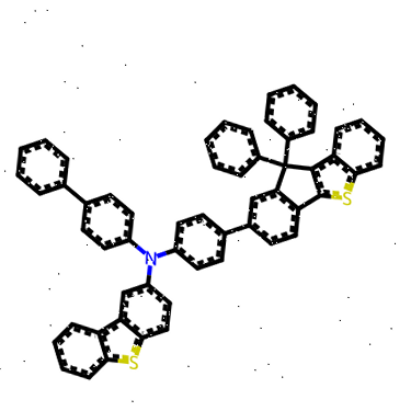 c1ccc(-c2ccc(N(c3ccc(-c4ccc5c(c4)C(c4ccccc4)(c4ccccc4)c4c-5sc5ccccc45)cc3)c3ccc4sc5ccccc5c4c3)cc2)cc1